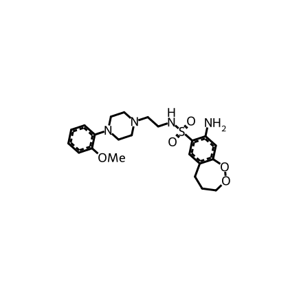 COc1ccccc1N1CCN(CCNS(=O)(=O)c2cc3c(cc2N)OOCCC3)CC1